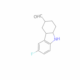 O=CC1CCC2Nc3ccc(F)cc3C2C1